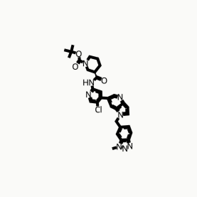 Cn1nnc2ccc(Cn3ccc4ncc(-c5cc(NC(=O)[C@@H]6CCCN(C(=O)OC(C)(C)C)C6)ncc5Cl)cc43)cc21